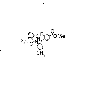 COC(=O)c1ccc(-c2nn(C(=O)c3c(Cl)cccc3C(F)(F)F)c3cc(C)ccc23)c(F)c1